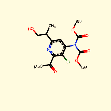 COC(=O)c1nc(C(C)CO)cc(N(C(=O)OC(C)(C)C)C(=O)OC(C)(C)C)c1Cl